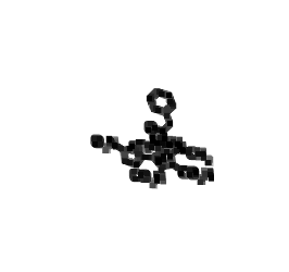 C=NC1=C(C(=O)O)C(C(=O)O)=C(c2ccc([N+](=O)[O-])s2)[SH]1(CC)(CC)NC(=O)Cc1ccccc1